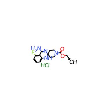 C#CCOC(=O)N1CCC2(CC1)N=C(N)c1c(F)cccc1N2.Cl